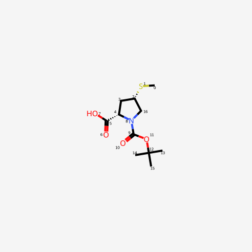 CS[C@H]1C[C@@H](C(=O)O)N(C(=O)OC(C)(C)C)C1